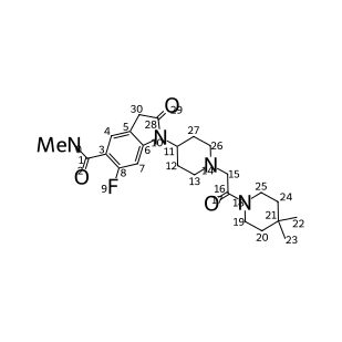 CNC(=O)c1cc2c(cc1F)N(C1CCN(CC(=O)N3CCC(C)(C)CC3)CC1)C(=O)C2